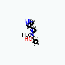 CN(CC(O)c1ccccc1)c1cccc(-c2ccnc3[nH]ccc23)n1